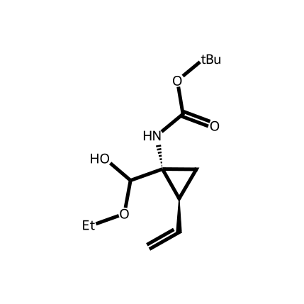 C=C[C@@H]1C[C@]1(NC(=O)OC(C)(C)C)C(O)OCC